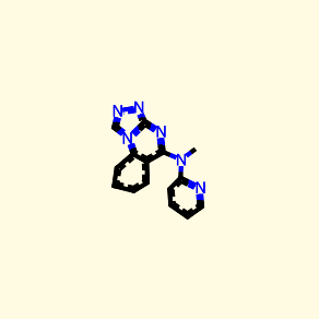 CN(c1ccccn1)c1nc2nncn2c2ccccc12